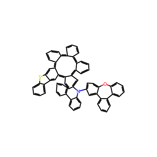 c1ccc(-c2ccccc2N(c2ccc3c(c2)-c2ccccc2-c2ccccc2O3)c2ccc3c(c2)c2ccccc2c2ccccc2c2ccccc2c2cc4sc5ccccc5c4cc32)cc1